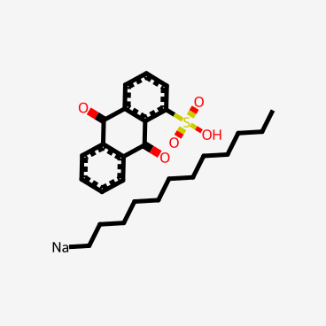 CCCCCCCCCCC[CH2][Na].O=C1c2ccccc2C(=O)c2c1cccc2S(=O)(=O)O